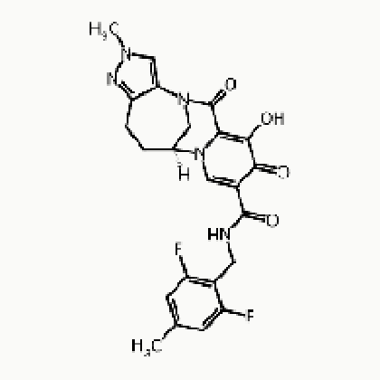 Cc1cc(F)c(CNC(=O)c2cn3c(c(O)c2=O)C(=O)N2C[C@@H]3CCc3nn(C)cc32)c(F)c1